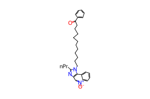 CCCc1nc2c[n+]([O-])c3ccccc3c2n1CCCCCCCCCCCC(=O)c1ccccc1